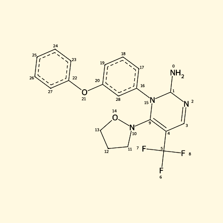 NC1N=CC(C(F)(F)F)=C(N2CCCO2)N1c1cccc(Oc2ccccc2)c1